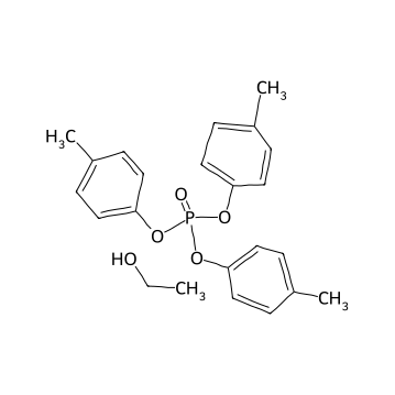 CCO.Cc1ccc(OP(=O)(Oc2ccc(C)cc2)Oc2ccc(C)cc2)cc1